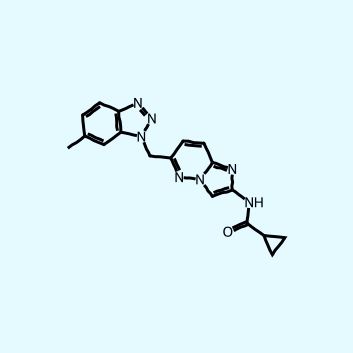 Cc1ccc2nnn(Cc3ccc4nc(NC(=O)C5CC5)cn4n3)c2c1